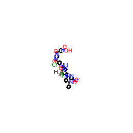 Cn1c(-c2cn(-c3cc(N=C(c4ccccc4)c4ccccc4)c([N+](=O)[O-])cn3)nc2C(F)(F)F)cnc1C(=O)Nc1ccc(C(=O)N2CCN(C(=O)C3CCN(C(=O)O)CC3)CC2)c(Cl)c1